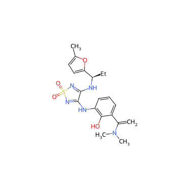 C=C(c1cccc(NC2=NS(=O)(=O)N=C2N[C@H](CC)c2ccc(C)o2)c1O)N(C)C